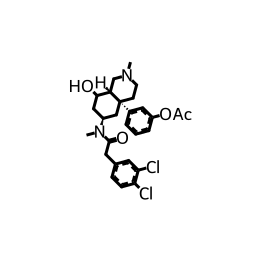 CC(=O)Oc1cccc([C@@]23CCN(C)C[C@H]2C(O)C[C@H](N(C)C(=O)Cc2ccc(Cl)c(Cl)c2)C3)c1